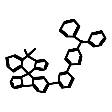 CC1(C)c2ccccc2C2(c3ccccc3-c3ccc(-c4cccc(-c5ccc(N(c6ccccc6)c6ccccc6)cc5)c4)cc32)c2ccccc21